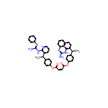 CC(c1ccc(OC(=O)/C=C\C(=O)Oc2ccc(C(C)c3cccnc3NC(N)=Nc3ccccc3)cc2)cc1)c1cccnc1NC(N)=Nc1ccccc1